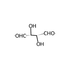 O=[C][C@H](O)[C@@H](O)[C]=O